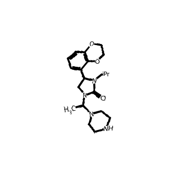 CC(N1CCNCC1)N1CC(c2cccc3c2OCCO3)N(C(C)C)C1=O